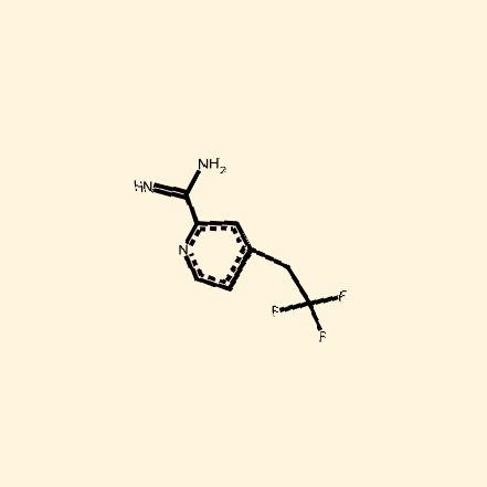 N=C(N)c1cc(CC(F)(F)F)ccn1